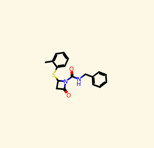 Cc1ccccc1SC1CC(=O)N1C(=O)NCc1ccccc1